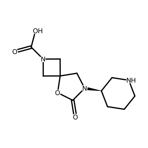 O=C(O)N1CC2(C1)CN([C@@H]1CCCNC1)C(=O)O2